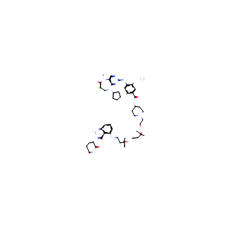 COc1cc(C(=O)NC2CCN(CCOC(C)(C)CCOC(C)(C)CCNc3cccc4nnn(C5CCC(=O)NC5=O)c(=O)c34)CC2)c(F)cc1Nc1ncc2c(n1)N(C1CCCC1)CC(F)(F)C(=O)N2C